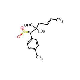 CC=CCC(C=O)(CCCC)C(c1ccc(C)cc1)=S(=O)=O